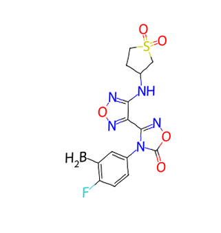 Bc1cc(-n2c(-c3nonc3NC3CCS(=O)(=O)C3)noc2=O)ccc1F